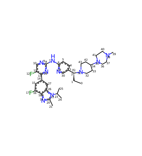 CC[C@@H](c1ccc(Nc2ncc(F)c(-c3cc(F)c4nc(C)n(C(C)C)c4c3)n2)nc1)N1CCC(N2CCN(C)CC2)CC1